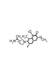 COc1cc2cc(F)c(N3CC[C@@H]([C@H](C)N)C3)c(C)c2n(C2CC2)c1=O